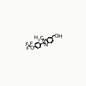 Cn1c(-c2ccc(OC(F)(F)F)cc2)nc2ccc(CO)cc21